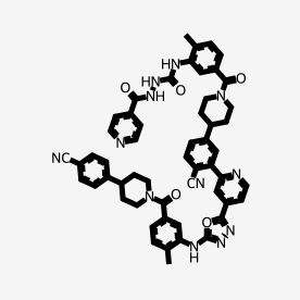 Cc1ccc(C(=O)N2CCC(c3ccc(C#N)c(-c4cc(-c5nnc(Nc6cc(C(=O)N7CCC(c8ccc(C#N)cc8)CC7)ccc6C)o5)ccn4)c3)CC2)cc1NC(=O)NNC(=O)c1ccncc1